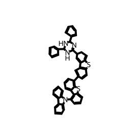 C1=c2sc3ccc(-c4cccc5c4sc4cccc(-n6c7ccccc7c7ccccc76)c45)cc3c2=CC(C2=NC(c3ccccc3)NC(c3ccccc3)N2)C1